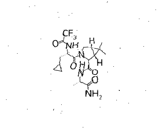 C[C@H](NC(=O)[C@@H]1[C@@H]2[C@H](CN1C(=O)[C@H](CC1CC1)NC(=O)C(F)(F)F)C2(C)C)C(N)=O